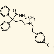 Cc1ccc(CCN(C)CCCC(C(N)=O)(c2ccccc2)c2ccccc2)cc1